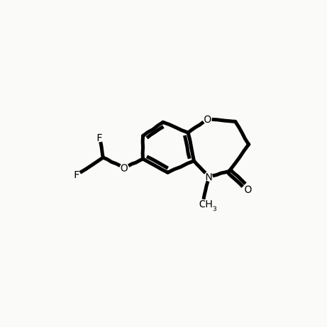 CN1C(=O)CCOc2ccc(OC(F)F)cc21